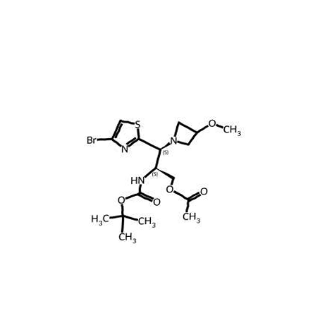 COC1CN([C@H](c2nc(Br)cs2)[C@@H](COC(C)=O)NC(=O)OC(C)(C)C)C1